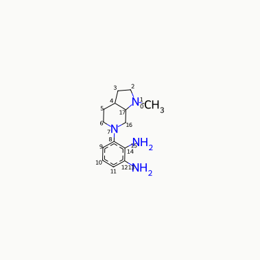 CN1CCC2CCN(c3cccc(N)c3N)CC21